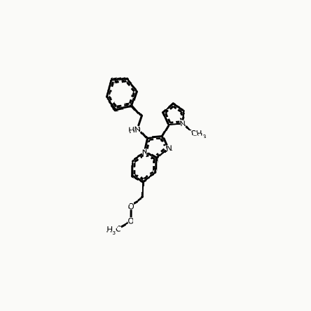 COOCc1ccn2c(NCc3ccccc3)c(-c3cccn3C)nc2c1